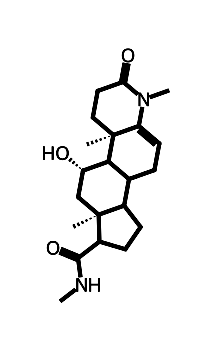 CNC(=O)C1CCC2C3CC=C4N(C)C(=O)CC[C@]4(C)C3[C@@H](O)C[C@]12C